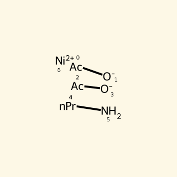 CC(=O)[O-].CC(=O)[O-].CCCN.[Ni+2]